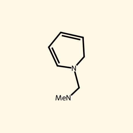 CNCN1C=CC=CC1